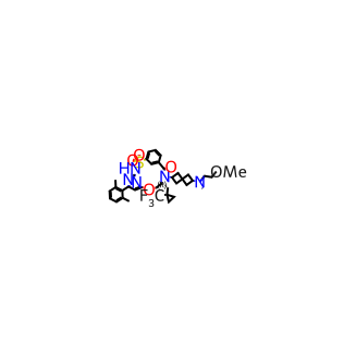 COCCN(C)[C@H]1CC2(C1)C[C@H](N1C(=O)c3cccc(c3)S(=O)(=O)Nc3nc(cc(-c4c(C)cccc4C)n3)OC[C@H]1CC1(C(F)(F)F)CC1)C2